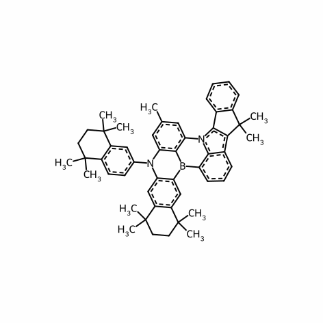 Cc1cc2c3c(c1)-n1c4c(c5cccc(c51)B3c1cc3c(cc1N2c1ccc2c(c1)C(C)(C)CCC2(C)C)C(C)(C)CCC3(C)C)C(C)(C)c1ccccc1-4